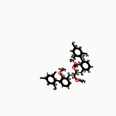 Cc1cc(C)c(-c2cccc(C[C@@H](OC(C)C)[C@@H](Cc3cccc(-c4c(C)cc(C)cc4C)c3OC(C)C)OC(C)C)c2OC(C)C)c(C)c1